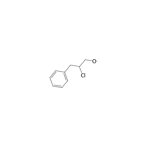 [O]CC(Cl)Cc1ccccc1